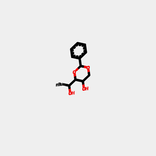 CCCCC(O)C1OC(c2ccccc2)OCC1O